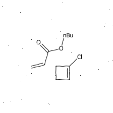 C=CC(=O)OCCCC.ClC1=CCC1